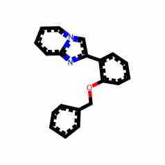 c1ccc(COc2ccccc2-c2cn3ccccc3n2)cc1